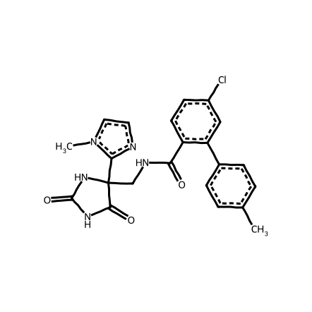 Cc1ccc(-c2cc(Cl)ccc2C(=O)NCC2(c3nccn3C)NC(=O)NC2=O)cc1